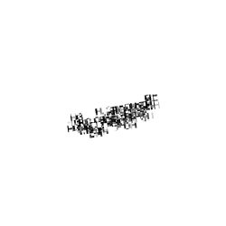 CC1OC(OC2C(OC(=O)C34CCC(C)(C)CC3C3=CCC5C6(C)CC(O)C(OC7OC(CO)C(O)C(O)C7O)C(C)(CO)C6C(O)CC5(C)C3(C)CC4)OCC(O)C2O)C(O)C(O)C1OC1OCC(O)C(OC2OCC(O)(CO)C2O)C1O